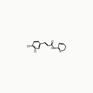 O=C(/C=C/c1ccc(Cl)c(Cl)c1)NC1=NCCC=C1